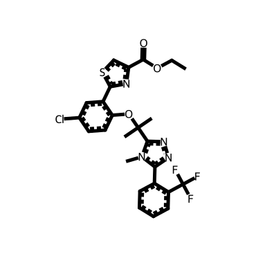 CCOC(=O)c1csc(-c2cc(Cl)ccc2OC(C)(C)c2nnc(-c3ccccc3C(F)(F)F)n2C)n1